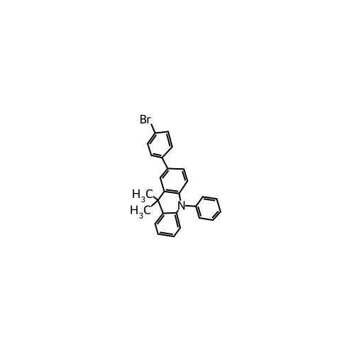 CC1(C)c2ccccc2N(c2ccccc2)c2ccc(-c3ccc(Br)cc3)cc21